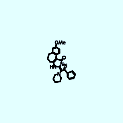 COc1ccc2c(c1)CCCc1[nH]c3c(N4CCCCC4)c(-c4ccccc4)nn3c(=O)c1-2